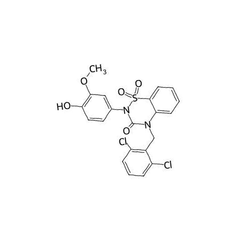 COc1cc(N2C(=O)N(Cc3c(Cl)cccc3Cl)c3ccccc3S2(=O)=O)ccc1O